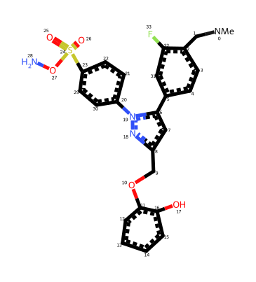 CNCc1ccc(-c2cc(COc3ccccc3O)nn2-c2ccc(S(=O)(=O)ON)cc2)cc1F